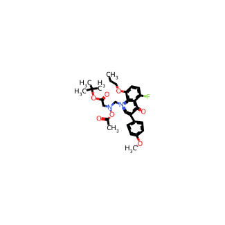 CCCOc1ccc(F)c2c(=O)c(-c3ccc(OC)cc3)cn(CN(CC(=O)OC(C)(C)C)OC(C)=O)c12